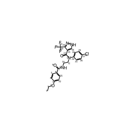 CCOc1ccc(C(=O)NCCN(C(=O)c2c[nH]nc2C(F)(F)F)c2ccc(Cl)cc2)cc1